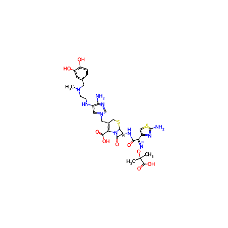 CN(CCNc1c[n+](CC2=C(C(=O)O)N3C(=O)[C@@H](NC(=O)/C(=N\OC(C)(C)C(=O)O)c4csc(N)n4)C3SC2)cnc1N)Cc1ccc(O)c(O)c1